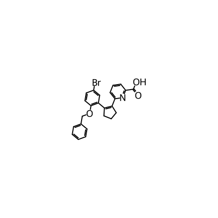 O=C(O)c1cccc(C2=C(c3cc(Br)ccc3OCc3ccccc3)CCC2)n1